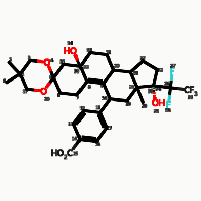 CC1(C)COC2(CCC3=C4C(c5ccc(C(=O)O)cc5)CC5(C)C(CC[C@@]5(O)C(F)(F)C(F)(F)F)C4CC[C@@]3(O)C2)OC1